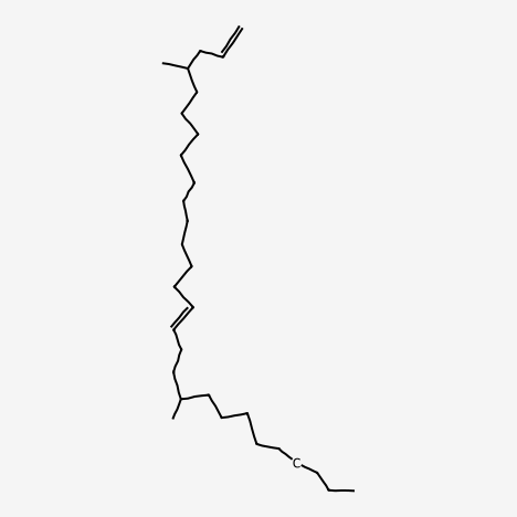 C=CCC(C)CCCCCCCCCCC=CCCC(C)CCCCCCCCC